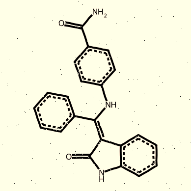 NC(=O)c1ccc(NC(=C2C(=O)Nc3ccccc32)c2ccccc2)cc1